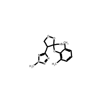 CCCCC1(Oc2c(C)cccc2C)OOCC1c1nnn(C)n1